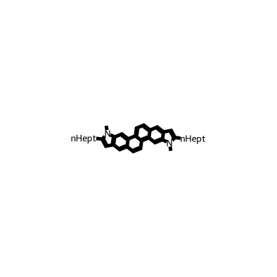 CCCCCCCc1cc2cc3ccc4c5cc6c(cc(CCCCCCC)n6C)cc5ccc4c3cc2n1C